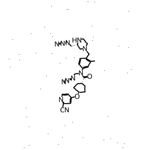 Cc1cc(N(CN=[N+]=[N-])C(=O)[C@H]2CC[C@H](Oc3ccnc(C#N)c3)CC2)ccc1CN1CCN[C@@H](CN=[N+]=[N-])C1